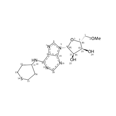 COC[C@H]1O[C@@H](n2cnc3c(NC4CCSCC4)ncnc32)[C@H](O)[C@@H]1O